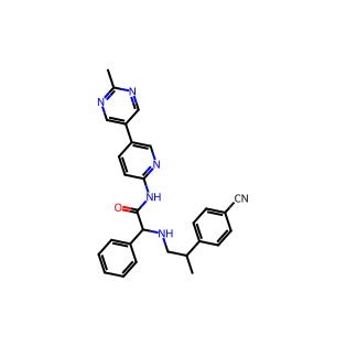 Cc1ncc(-c2ccc(NC(=O)C(NCC(C)c3ccc(C#N)cc3)c3ccccc3)nc2)cn1